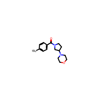 CC(C)(C)c1ccc(C(=O)N2CCC(N3CCOCC3)C2)cc1